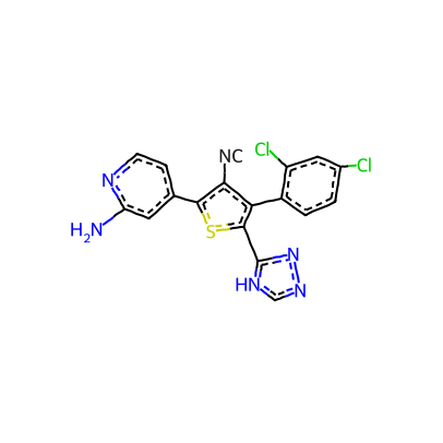 [C-]#[N+]c1c(-c2ccnc(N)c2)sc(-c2nnc[nH]2)c1-c1ccc(Cl)cc1Cl